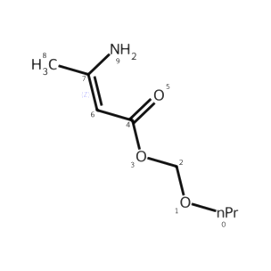 CCCOCOC(=O)/C=C(/C)N